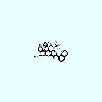 CC(Oc1nc2c(F)c(-c3cccc4c3OCCC4)ncc2c(N(C(=O)OC(C)(C)C)[C@H]2[C@@H]3C[C@H]2N(C(=O)O)C3)c1I)[C@@H]1CCCN1C